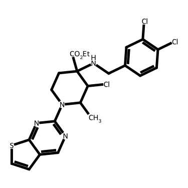 CCOC(=O)C1(NCc2ccc(Cl)c(Cl)c2)CCN(c2ncc3ccsc3n2)C(C)C1Cl